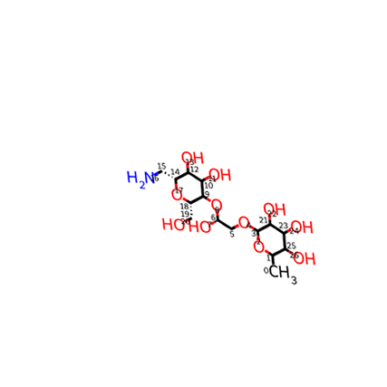 CC1OC(OC[C@@H](O)OC2C(O)C(O)[C@@H](CN)O[C@H]2CO)C(O)C(O)C1O